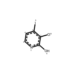 Oc1nccc(I)c1Cl